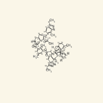 CCn1nnc2c(C)c([C@H](CC(=O)O)c3ccc4c(c3)C3CC[C@H](C4)N3C(=O)c3cc(C)cc(OC(=O)C[C@@H](c4ccc5c(c4)[C@@H]4C[C@H](C5)N4C(=O)c4cc(C)ccc4C)c4ccc5c(nnn5CC)c4C)c3C)ccc21